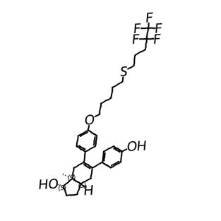 C[C@]12CC(c3ccc(OCCCCCSCCCC(F)(F)C(F)(F)F)cc3)=C(c3ccc(O)cc3)C[C@@H]1CC[C@@H]2O